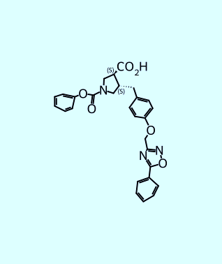 O=C(O)[C@@H]1CN(C(=O)Oc2ccccc2)C[C@H]1Cc1ccc(OCc2noc(-c3ccccc3)n2)cc1